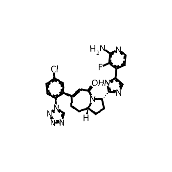 Nc1nccc(-c2cnc([C@@H]3CC[C@@H]4CCC(c5cc(Cl)ccc5-n5cnnn5)=CC(=O)N43)[nH]2)c1F